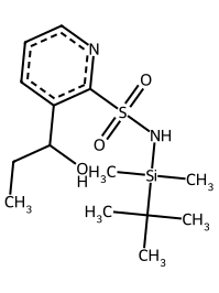 CCC(O)c1cccnc1S(=O)(=O)N[Si](C)(C)C(C)(C)C